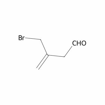 C=C(CBr)CC=O